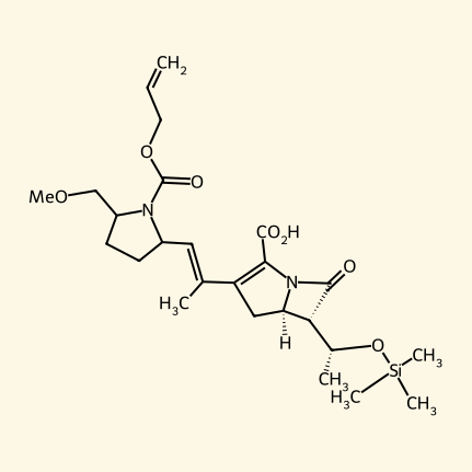 C=CCOC(=O)N1C(/C=C(\C)C2=C(C(=O)O)N3C(=O)[C@H]([C@@H](C)O[Si](C)(C)C)[C@H]3C2)CCC1COC